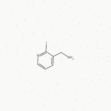 NCc1cccnc1I